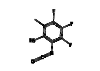 Cc1c(F)c(F)c(F)c(N=C=O)c1S